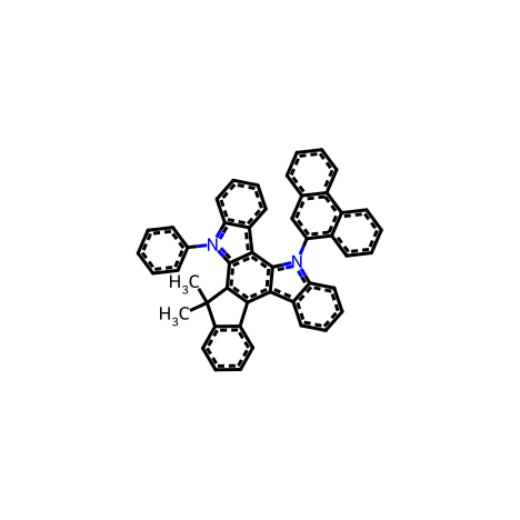 CC1(C)c2ccccc2-c2c1c1c(c3ccccc3n1-c1ccccc1)c1c2c2ccccc2n1-c1cc2ccccc2c2ccccc12